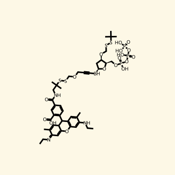 CC/N=C1/C=C2Oc3cc(NCC)c(C)cc3C(c3ccc(C(=O)NCC(C)(C)SSCOCC#CB[C@H]4C[C@@H](OCSSC(C)(C)C)[C@@H](COP(=O)(O)OP(=O)(O)OP(=O)(O)O)O4)cc3C(=O)O)C2C=C1C